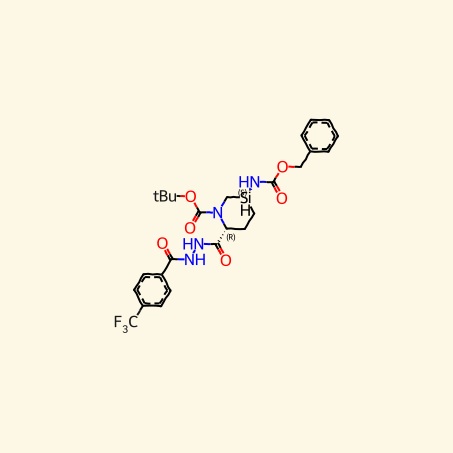 CC(C)(C)OC(=O)N1C[Si@@H](NC(=O)OCc2ccccc2)CC[C@@H]1C(=O)NNC(=O)c1ccc(C(F)(F)F)cc1